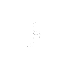 C=CC(=O)N1CCC(n2nc(C#Cc3c(F)c(OC)nc(OC)c3F)c3c(N)ncc(C)c32)C1